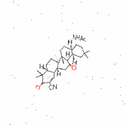 CC(=O)N[C@@H]1CC(C)(C)C[C@H]2[C@@H]1CC[C@]1(C)[C@@H]2C(=O)C[C@@H]2[C@@]3(C)C=C(C#N)C(=O)C(C)(C)[C@@H]3CC[C@]21C